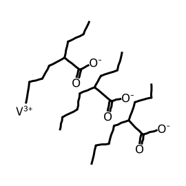 CCCCC(CCC)C(=O)[O-].CCCCC(CCC)C(=O)[O-].CCCCC(CCC)C(=O)[O-].[V+3]